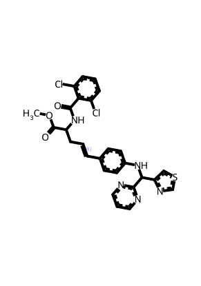 COC(=O)C(C/C=C/c1ccc(NC(c2cscn2)c2ncccn2)cc1)NC(=O)c1c(Cl)cccc1Cl